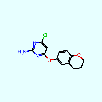 Nc1nc(Cl)cc(Oc2ccc3c(c2)CCCO3)n1